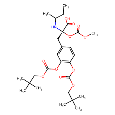 CCC(C)N[C@@](Cc1ccc(OC(=O)OCC(C)(C)C)c(OC(=O)OCC(C)(C)C)c1)(OC(=O)OC)C(=O)O